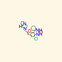 O=C1Nc2c(Cl)cc3cc(CN4CCN5CCC[C@H]5C4)oc3c2C2(CCCCC2)N1